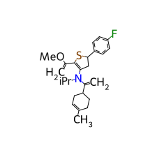 C=C(OC)C1=C(N(C(=C)C2CC=C(C)CC2)C(C)C)CC(c2ccc(F)cc2)S1